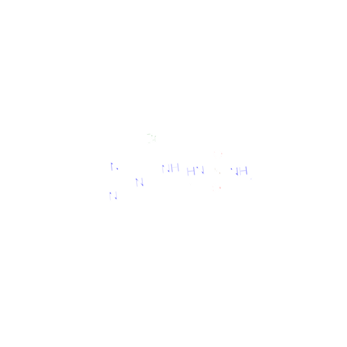 CN(C)c1ncc(Br)c(Nc2ccccc2NS(N)(=O)=O)n1